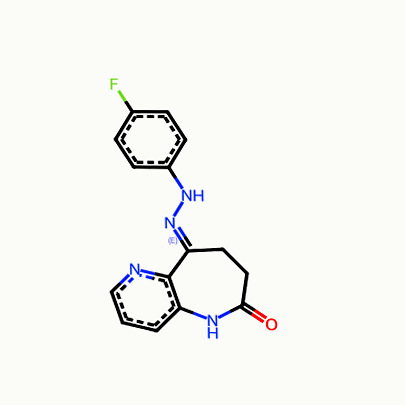 O=C1CC/C(=N\Nc2ccc(F)cc2)c2ncccc2N1